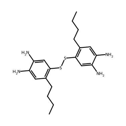 CCCCc1cc(N)c(N)cc1SSc1cc(N)c(N)cc1CCCC